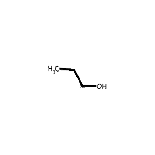 CC[C]O